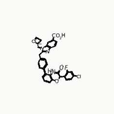 O=C(O)c1ccc2nc(Cc3ccc(-c4cccc5c4NC(=O)C(c4ccc(Cl)cc4F)O5)cc3)n(C[C@@H]3CCO3)c2c1